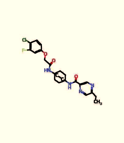 CCc1cnc(C(=O)NC23CCC(NC(=O)COc4ccc(Cl)c(F)c4)(CC2)CC3)cn1